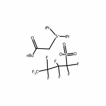 CCCCC(=O)C[S+](C(C)C)C(C)C.O=S(=O)([O-])C(F)(F)C(F)(F)C(F)(F)C(F)(F)F